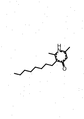 CCCCCCCCc1c(C)[nH]c(C)cc1=O